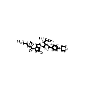 CCCCC(OC)C(=O)N1CC(=O)C2C1CCN2C(=O)C(CC(C)C)NC(=O)c1ccc(N2CCOCC2)cc1